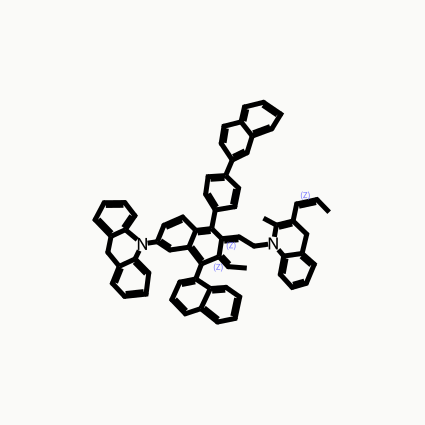 C/C=C\C1=C(C)N(C/C=c2/c(-c3ccc(-c4ccc5ccccc5c4)cc3)c3ccc(N4c5ccccc5Cc5ccccc54)cc3c(-c3cccc4ccccc34)/c2=C/C)c2ccccc2C1